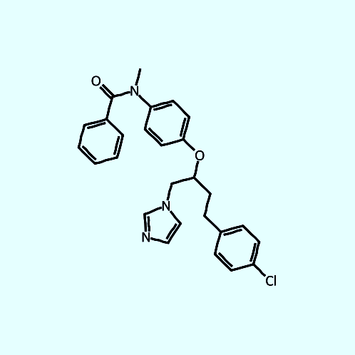 CN(C(=O)c1ccccc1)c1ccc(OC(CCc2ccc(Cl)cc2)Cn2ccnc2)cc1